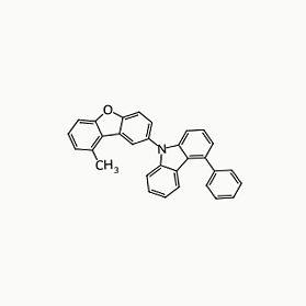 Cc1cccc2oc3ccc(-n4c5ccccc5c5c(-c6ccccc6)cccc54)cc3c12